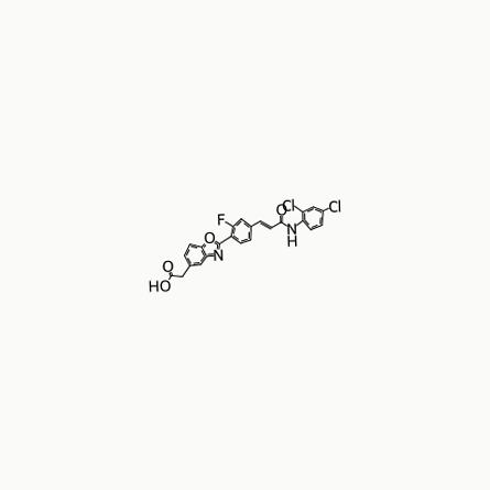 O=C(O)Cc1ccc2oc(-c3ccc(C=CC(=O)Nc4ccc(Cl)cc4Cl)cc3F)nc2c1